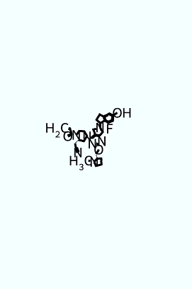 C=CC(=O)N1CCN(c2nc(OC[C@@H]3CCCN3C)nc3c2CN(C2CCc4cc(O)cc(F)c42)C3)C[C@@H]1CC#N